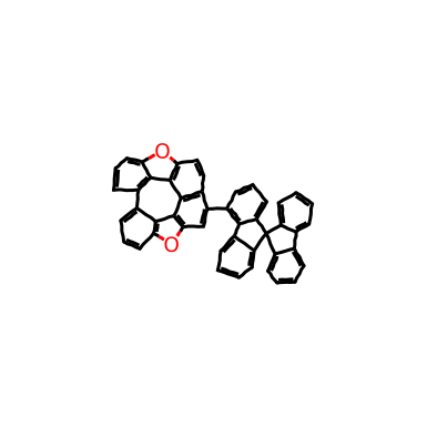 c1ccc2c(c1)-c1ccccc1C21c2ccccc2-c2c(-c3cc4oc5cccc6c5c4c4c3ccc3oc5cccc-6c5c34)cccc21